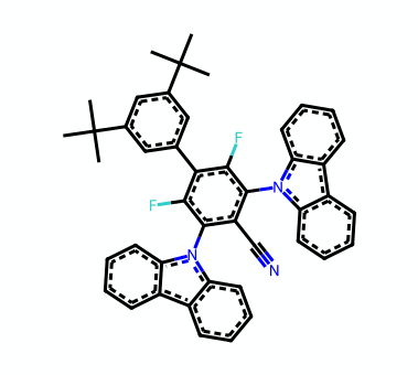 CC(C)(C)c1cc(-c2c(F)c(-n3c4ccccc4c4ccccc43)c(C#N)c(-n3c4ccccc4c4ccccc43)c2F)cc(C(C)(C)C)c1